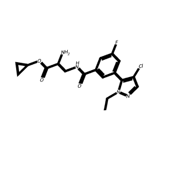 CCn1ncc(Cl)c1-c1cc(F)cc(C(=O)NCC(N)C(=O)OC2CC2)c1